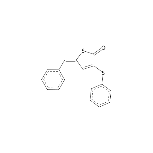 O=C1SC(=Cc2ccccc2)C=C1Sc1ccccc1